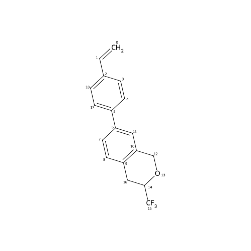 C=Cc1ccc(-c2ccc3c(c2)COC(C(F)(F)F)C3)cc1